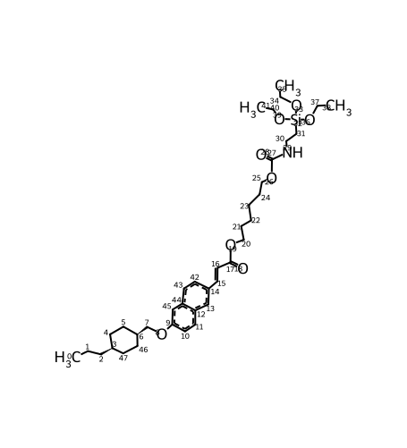 CCC[C@H]1CC[C@@H](COc2ccc3cc(/C=C/C(=O)OCCCCCCOC(=O)NCC[Si](OCC)(OCC)OCC)ccc3c2)CC1